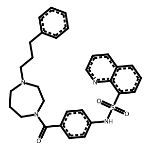 O=C(c1ccc(NS(=O)(=O)c2cccc3cccnc23)cc1)N1CCCN(CCCc2ccccc2)CC1